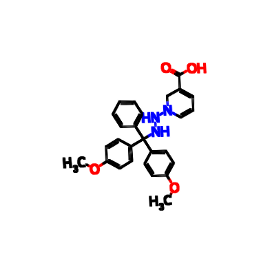 COc1ccc(C(NNN2C=CC=C(C(=O)O)C2)(c2ccccc2)c2ccc(OC)cc2)cc1